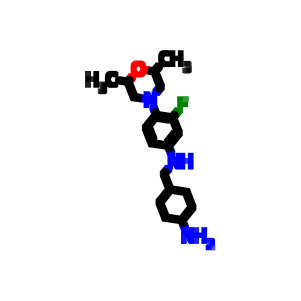 CC1CN(c2ccc(NCC3CCC(N)CC3)cc2F)CC(C)O1